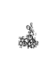 C=CC(=O)N1C[C@H](C)N(c2nc(=O)n3c4c2cc(F)c(-c2ccccc2C=C)[n+]4C(C)c2nccc(C)c2-3)[C@@H](C)C1